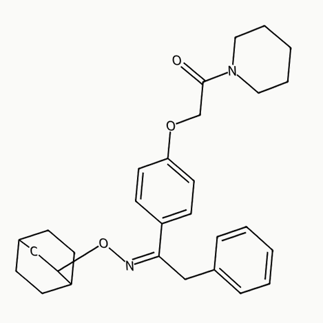 O=C(COc1ccc(C(Cc2ccccc2)=NOC2CC3CCC2CC3)cc1)N1CCCCC1